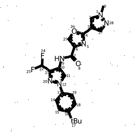 Cn1cc(-c2nc(C(=O)Nc3cn(-c4ccc(C(C)(C)C)cc4)nc3C(F)F)co2)cn1